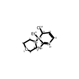 CC[N+]1(N2CCOCC2)C(N)=NC=CC1Cl